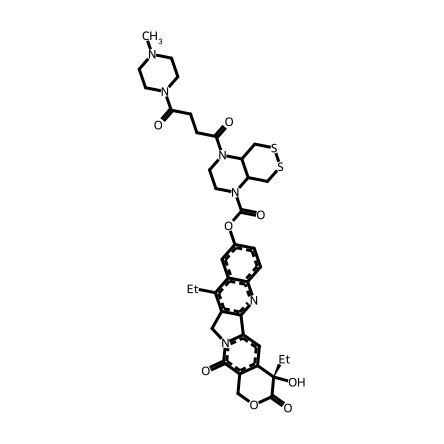 CCc1c2c(nc3ccc(OC(=O)N4CCN(C(=O)CCC(=O)N5CCN(C)CC5)C5CSSCC54)cc13)-c1cc3c(c(=O)n1C2)COC(=O)[C@]3(O)CC